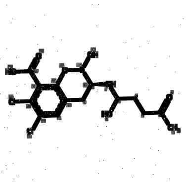 CC(=O)CCC(O)N[C@H]1Cc2cc(Cl)c(Cl)c(C(=O)O)c2OB1O